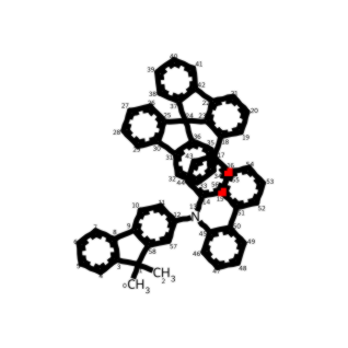 CC1(C)c2ccccc2-c2ccc(N(c3ccc(-c4cccc5c4C4(c6ccccc6-c6ccccc64)c4ccccc4-5)cc3)c3ccccc3-c3ccccc3)cc21